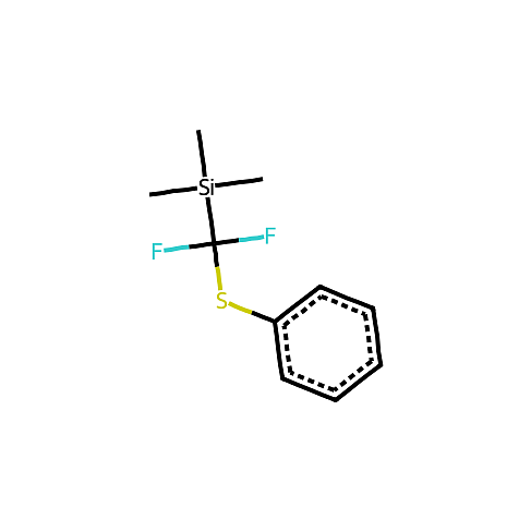 C[Si](C)(C)C(F)(F)Sc1ccccc1